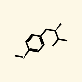 COc1ccc(C[C@@H](C)C(C)C)cc1